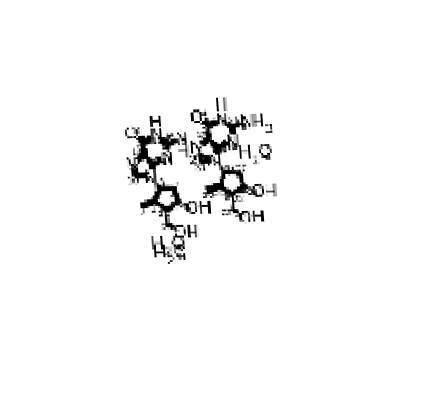 C=C1[C@H](CO)[C@@H](O)C[C@@H]1n1cnc2c(=O)[nH]c(N)nc21.C=C1[C@H](CO)[C@@H](O)C[C@@H]1n1cnc2c(=O)[nH]c(N)nc21.O.O.O